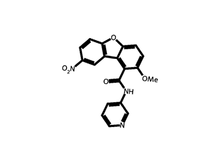 COc1ccc2oc3ccc([N+](=O)[O-])cc3c2c1C(=O)Nc1cccnc1